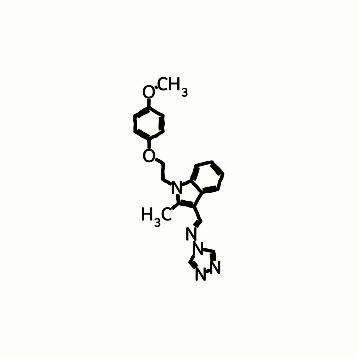 COc1ccc(OCCn2c(C)c(C=Nn3cnnc3)c3ccccc32)cc1